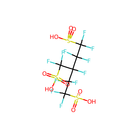 O=S(=O)(O)C(F)(F)C(F)(F)C(F)(C(F)(F)C(F)(F)S(=O)(=O)O)C(F)(F)S(=O)(=O)O